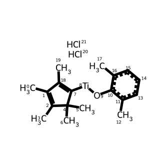 CC1=C(C)C(C)(C)[C]([Ti][O]c2c(C)cccc2C)=C1C.Cl.Cl